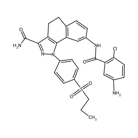 CCCS(=O)(=O)c1ccc(-n2nc(C(N)=O)c3c2-c2cc(NC(=O)c4cc(N)ccc4Cl)ccc2CC3)cc1